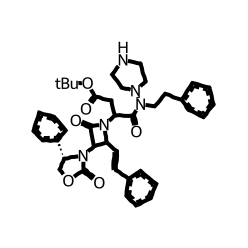 CC(C)(C)OC(=O)CC(C(=O)N(CCc1ccccc1)N1CCNCC1)N1C(=O)C(N2C(=O)OC[C@@H]2c2ccccc2)C1C=Cc1ccccc1